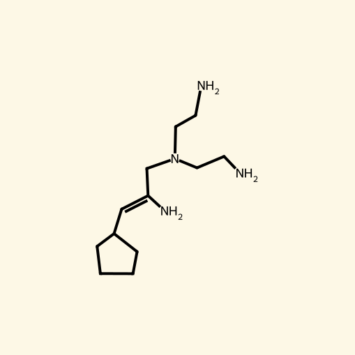 NCCN(CCN)CC(N)=CC1CCCC1